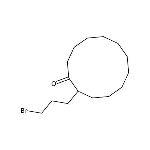 O=C1CCCCCCCCCCC1CCCBr